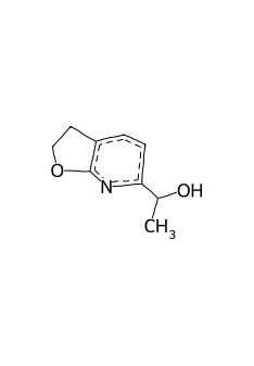 CC(O)c1ccc2c(n1)OCC2